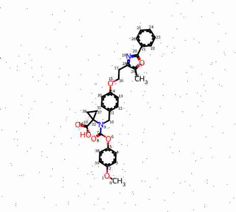 COc1ccc(OC(=O)N(Cc2ccc(OCCc3nc(-c4ccccc4)oc3C)cc2)C2(C(=O)O)CC2)cc1